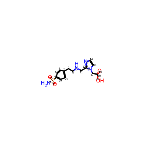 NS(=O)(=O)c1ccc(CCNCc2nccn2CC(=O)O)cc1